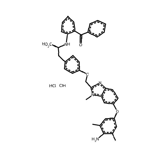 Cc1cc(Oc2ccc3nc(COc4ccc(CC(Nc5ccccc5C(=O)c5ccccc5)C(=O)O)cc4)n(C)c3c2)cc(C)c1N.Cl.Cl